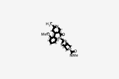 CNC(=O)N1Cc2nc(NC(=O)c3cnc(C)cc3-c3ccccc3OC)sc2C1